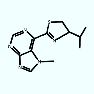 CC(C)C1CSC(c2ncnc3ncn(C)c23)=N1